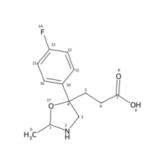 CC1NCC(CCC(=O)O)(c2ccc(F)cc2)O1